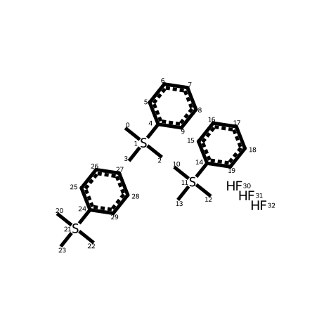 CS(C)(C)c1ccccc1.CS(C)(C)c1ccccc1.CS(C)(C)c1ccccc1.F.F.F